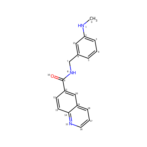 CNc1cccc(CNC(=O)c2ccc3ncccc3c2)c1